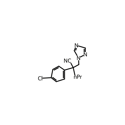 CCCC(C#N)(Cn1cncn1)c1ccc(Cl)cc1